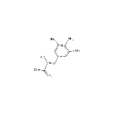 C=C(CC)/C(C)=C/c1cc(C(C)(C)C)c(N)c(C(C)(C)C)c1